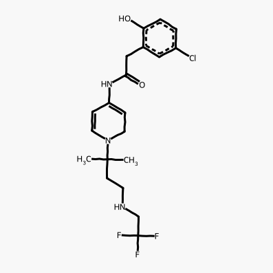 CC(C)(CCNCC(F)(F)F)N1C=CC(NC(=O)Cc2cc(Cl)ccc2O)=CC1